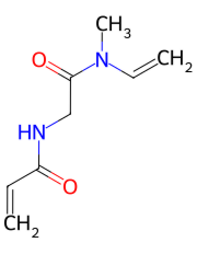 C=CC(=O)NCC(=O)N(C)C=C